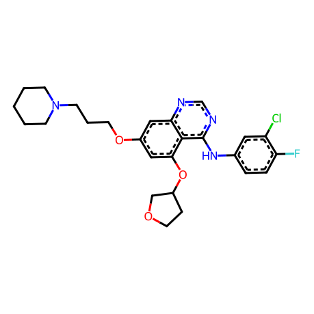 Fc1ccc(Nc2ncnc3cc(OCCCN4CCCCC4)cc(OC4CCOC4)c23)cc1Cl